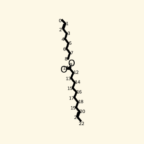 CC=CCCCCCCOC(=O)CCCCCCCC/C=C/C